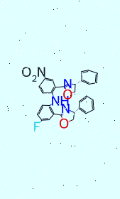 O=[N+]([O-])c1ccc(Nc2ccc(F)cc2C2=N[C@H](c3ccccc3)CO2)c(C2=N[C@H](c3ccccc3)CO2)c1